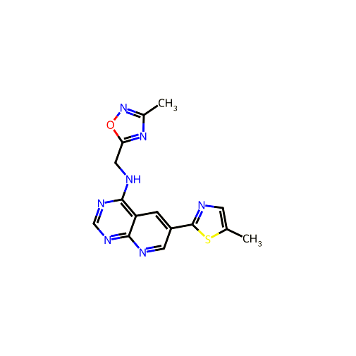 Cc1noc(CNc2ncnc3ncc(-c4ncc(C)s4)cc23)n1